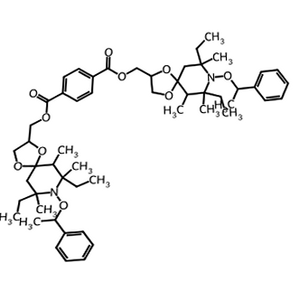 CCC1(C)CC2(OCC(COC(=O)c3ccc(C(=O)OCC4COC5(CC(C)(CC)N(OC(C)c6ccccc6)C(C)(CC)C5C)O4)cc3)O2)C(C)C(C)(CC)N1OC(C)c1ccccc1